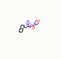 N/C(Cc1cccc2ccccc12)=N\OC(=O)N1CCOCC1